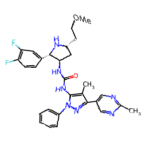 COCC[C@@H]1C[C@@H](NC(=O)Nc2c(C)c(-c3cnc(C)nc3)nn2-c2ccccc2)[C@H](c2ccc(F)c(F)c2)N1